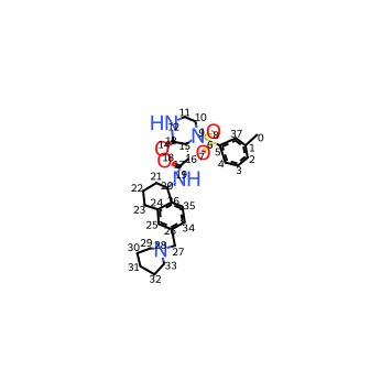 Cc1cccc(S(=O)(=O)N2CCNC(=O)[C@H]2CC(=O)N[C@@H]2CCCc3cc(CN4CCCCC4)ccc32)c1